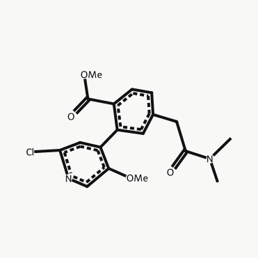 COC(=O)c1ccc(CC(=O)N(C)C)cc1-c1cc(Cl)ncc1OC